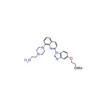 COCCOc1ccc2c(c1)ncn2-c1ccc2cccc(N3CCN(CCN)CC3)c2n1